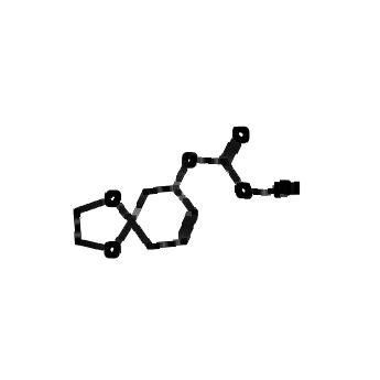 CC(C)(C)OC(=O)OC1C=CCC2(C1)OCCO2